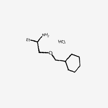 CCC(N)COCC1CCCCC1.Cl